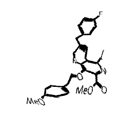 COC(=O)c1nc(I)c2cc(Cc3ccc(F)cc3)cnc2c1OCc1ccc(OC)cc1